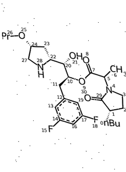 CCCC[C@H]1CCN(C(C)C(=O)O[C@@H](Cc2cc(F)cc(F)c2)[C@@H](O)[C@H]2C[C@@H](OCCC)CN2)C1=O